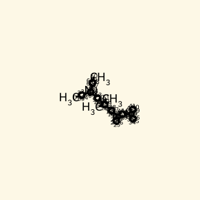 Cc1ccc(-c2cc(-c3ccc(-c4c(C)cc(-c5ccc(-n6c7ccccc7c7cc(-n8c9ccccc9c9ccccc98)ccc76)cc5)cc4C)cc3)nc(-c3ccc(C)cc3)n2)cc1